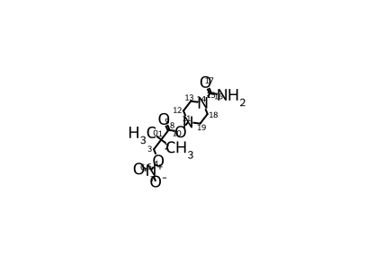 CC(C)(CO[N+](=O)[O-])C(=O)ON1CCN(C(N)=O)CC1